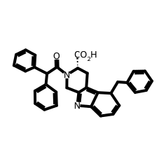 O=C(O)[C@@H]1CC2=C3C(=CC=CC3Cc3ccccc3)N=C2CN1C(=O)C(c1ccccc1)c1ccccc1